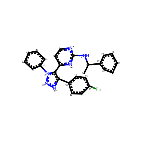 CC(Nc1nccc(-c2c(-c3ccc(F)cc3)nnn2-c2ccccc2)n1)c1ccccc1